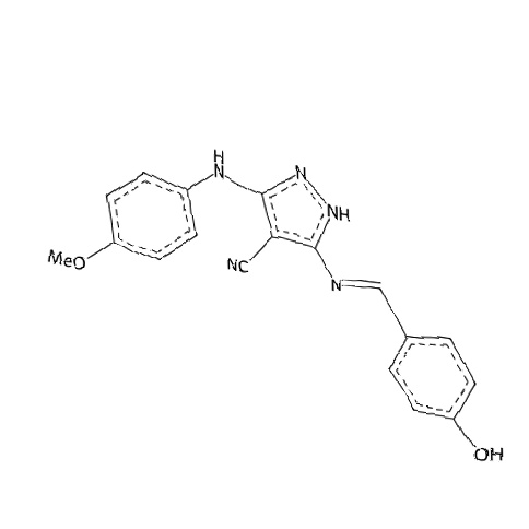 COc1ccc(Nc2n[nH]c(/N=C/c3ccc(O)cc3)c2C#N)cc1